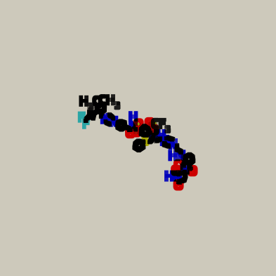 CC1(C)CCC(CN2CCN(c3ccc(C(=O)NS(=O)(=O)c4ccc(N[C@H](CCN5CCN(CCCNc6cccc7c6C(=O)N(C6CCC(=O)NC6=O)C7=O)CC5)CSc5ccccc5)c(S(=O)(=O)C(F)(F)F)c4)cc3)CC2)=C(C23CC(C(F)F)(C2)C3)C1